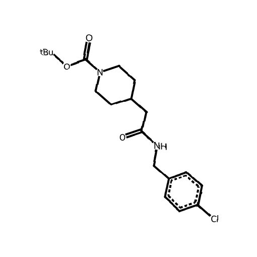 CC(C)(C)OC(=O)N1CCC(CC(=O)NCc2ccc(Cl)cc2)CC1